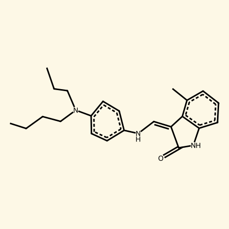 CCCCN(CCC)c1ccc(NC=C2C(=O)Nc3cccc(C)c32)cc1